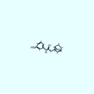 O=C(Nc1cccc(S)c1)OC1CN2CCC1CC2